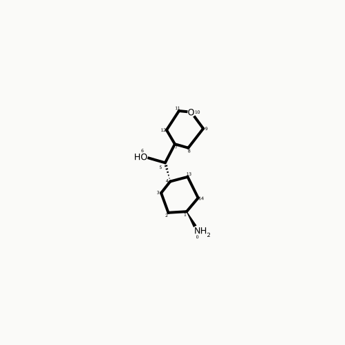 N[C@H]1CC[C@H](C(O)C2CCOCC2)CC1